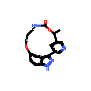 CC1OC(=O)NCCCOc2ccc3[nH]nc(c3c2)-c2cncc1c2